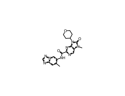 Cc1cc2ncnn2cc1NC(=O)c1ncc2c(n1)n(C1CCOCC1)c(=O)n2C